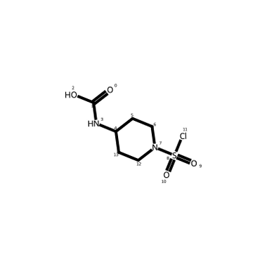 O=C(O)NC1CCN(S(=O)(=O)Cl)CC1